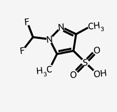 Cc1nn(C(F)F)c(C)c1S(=O)(=O)O